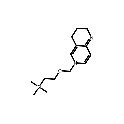 C[Si](C)(C)CCOCN1C=CC2=NCCCC2=C1